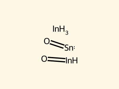 [InH3].[O]=[InH].[O]=[Sn]